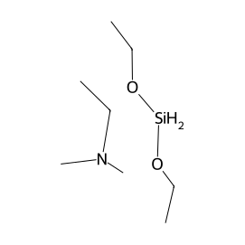 CCN(C)C.CCO[SiH2]OCC